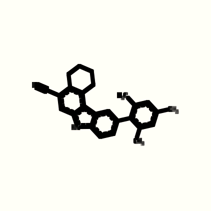 Cc1cc(C)c(-c2ccc3[nH]c4cc(C#N)c5c(c4c3c2)CCCC5)c(C)c1